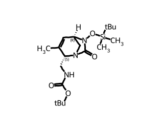 CC1=C[C@@H]2CN(C(=O)N2O[Si](C)(C)C(C)(C)C)[C@@H]1CNC(=O)OC(C)(C)C